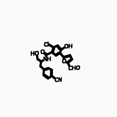 N#Cc1ccc(CC(CO)NC(=O)c2cc(-c3ccc(C=O)o3)c(O)cc2Cl)cc1